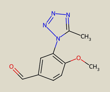 COc1ccc(C=O)cc1-n1nnnc1C